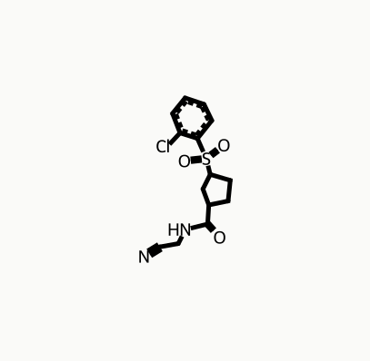 N#CCNC(=O)C1CCC(S(=O)(=O)c2ccccc2Cl)C1